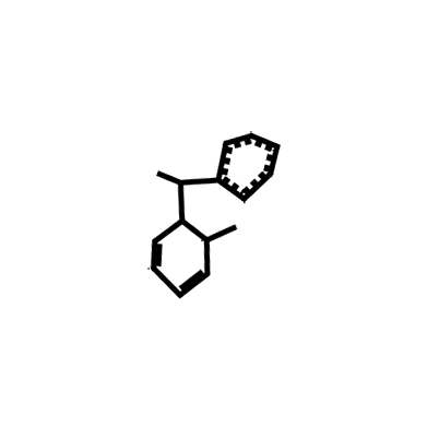 C[C]1C=C[C]=CC1C(C)c1[c]cc[c]c1